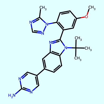 COc1ccc(-n2ncnc2C)c(-c2nc3cc(-c4cnc(N)nc4)ccc3n2C(C)(C)C)c1